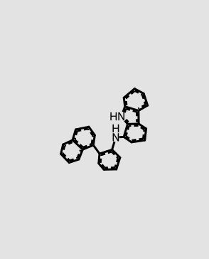 c1ccc(-c2cccc3ccccc23)c(Nc2cccc3c2[nH]c2ccccc23)c1